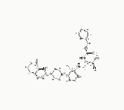 Cc1c(NC[C@H](NC(=O)OCc2ccccc2)C(=O)O)ncnc1N1CCC(c2ccc3c(n2)NCCC3)CC1